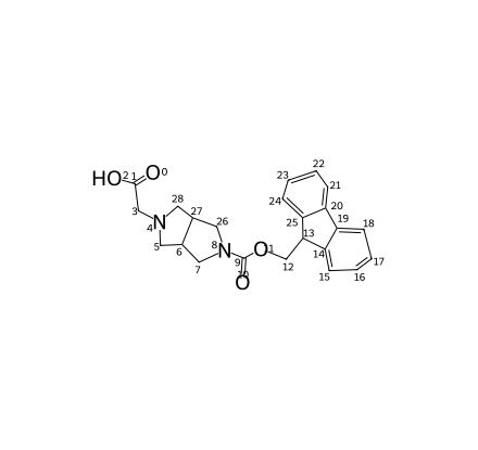 O=C(O)CN1CC2CN(C(=O)OCC3c4ccccc4-c4ccccc43)CC2C1